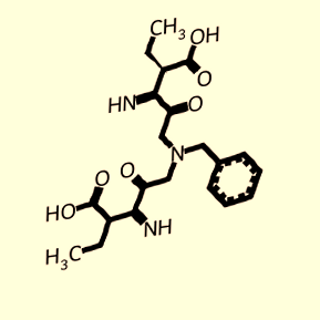 CCC(C(=N)C(=O)CN(CC(=O)C(=N)[C@@H](CC)C(=O)O)Cc1ccccc1)C(=O)O